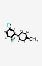 C=C1CCC(c2cc(F)ccc2F)CC1